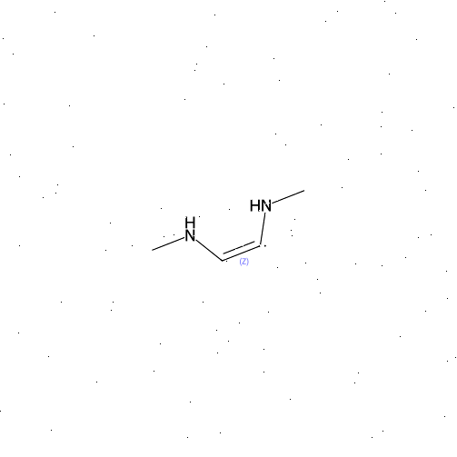 CN/[C]=C\NC